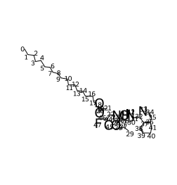 CCCCCCCCCCCCCCCCCCOC(=O)C[C@H](NC(=O)C1(C(C)C)CC(c2nccc3c2C=CCC3)=NO1)C(=O)CF